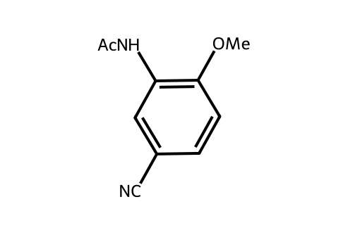 COc1ccc(C#N)cc1NC(C)=O